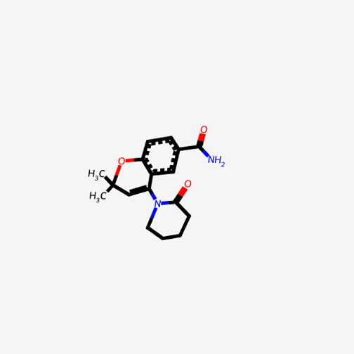 CC1(C)C=C(N2CCCCC2=O)c2cc(C(N)=O)ccc2O1